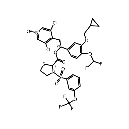 O=C(O[C@@H](Cc1c(Cl)c[n+]([O-])cc1Cl)c1ccc(OC(F)F)c(OCC2CC2)c1)[C@@H]1SCCN1S(=O)(=O)c1cccc(OC(F)(F)F)c1